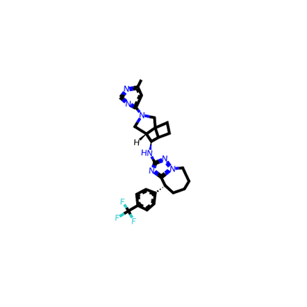 Cc1cc(N2C[C@H]3[C@H](Nc4nc5n(n4)CCCC[C@@H]5c4ccc(C(F)(F)F)cc4)C4CCC43C2)ncn1